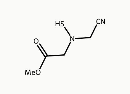 COC(=O)CN(S)CC#N